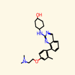 Cc1cc(OCCN(C)C)ccc1-c1cccc2cnc(NC3CCC(O)CC3)nc12